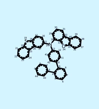 c1ccc(-c2ccccc2-c2ccc(N(c3ccc4sc5ccccc5c4c3)c3cccc4c3oc3ccccc34)cc2)cc1